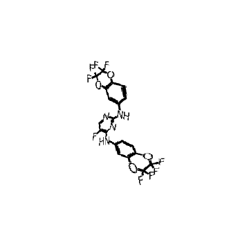 Fc1cnc(Nc2ccc3c(c2)OC(F)(F)C(F)(F)O3)nc1Nc1ccc2c(c1)OC(F)(F)C(F)(F)O2